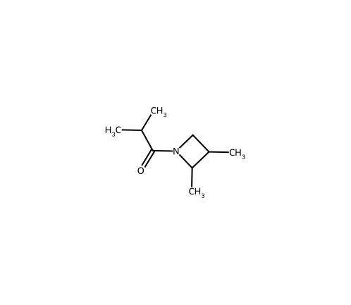 CC(C)C(=O)N1CC(C)C1C